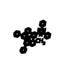 CC1C=CC=CC1c1cc(-c2nc(-c3ccccc3)nc(-c3ccccc3)n2)cc(-c2ccccc2)c1-n1c2ccc(-c3ccccc3)cc2c2cc(-c3ccccc3)ccc21